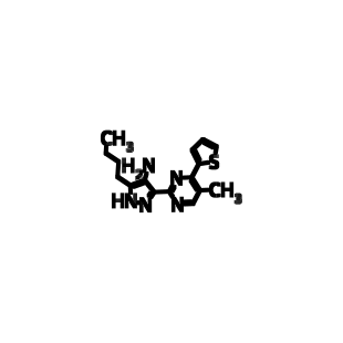 CCCCc1[nH]nc(-c2ncc(C)c(-c3cccs3)n2)c1N